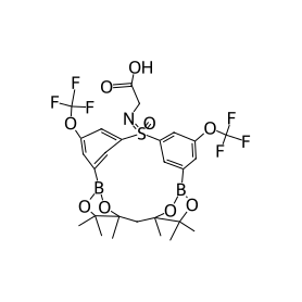 CC1(C)OB2OC1(C)CC1(C)OB(OC1(C)C)c1cc(OC(F)(F)F)cc(c1)S(=O)(=NCC(=O)O)c1cc(OC(F)(F)F)cc2c1